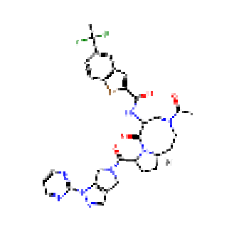 CC(=O)N1CC[C@H]2CC[C@@H](C(=O)N3Cc4cnn(-c5ncccn5)c4C3)N2C(=O)C(NC(=O)c2cc3cc(C(C)(F)F)ccc3s2)C1